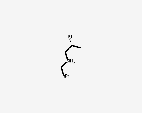 CCCC[SiH2]C[C@@H](C)CC